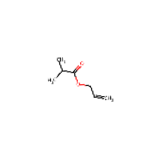 C=CCOC(=O)[C](C)C